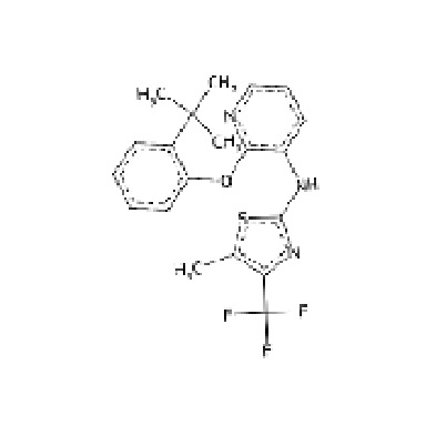 Cc1sc(Nc2cccnc2Oc2ccccc2C(C)(C)C)nc1C(F)(F)F